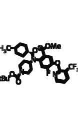 COC(=O)c1cc(Oc2ncccc2C(F)(F)F)c(F)cc1N(C(=O)[C@H]1CC[C@H](C)CC1)C1CCN(C(=O)OC(C)(C)C)CC1